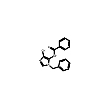 N#Cc1ncn(Cc2ccccc2)c1NC(=O)c1ccccc1